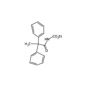 CCOC(=O)NC(=O)C(C)(c1ccccc1)c1ccccc1